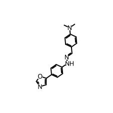 CN(C)c1ccc(C=NNc2ccc(-c3cnco3)cc2)cc1